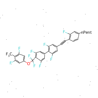 CCCCCc1ccc(C#Cc2cc(F)c(-c3cc(F)c(C(F)(F)Oc4cc(F)c(C(F)(F)F)c(F)c4)c(F)c3)c(F)c2)c(F)c1